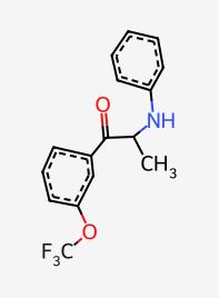 CC(Nc1ccccc1)C(=O)c1cccc(OC(F)(F)F)c1